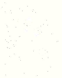 Cc1ncc(-c2cnc(OCCc3ccc(Cl)cc3Cl)c(F)c2)c(N2CCC(C)(C)CC2)c1C(OC(C)(C)C)C(=O)O